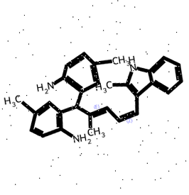 C/C(=C\C=C/c1c(C)[nH]c2ccccc12)C(c1cc(C)ccc1N)c1cc(C)ccc1N